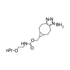 Bn1nnc2c1CCC1C(CC2)C1COC(=O)NCCOCCC